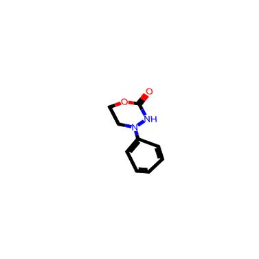 O=C1NN(c2ccccc2)CCO1